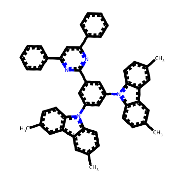 Cc1ccc2c(c1)c1cc(C)ccc1n2-c1cc(-c2nc(-c3ccccc3)cc(-c3ccccc3)n2)cc(-n2c3ccc(C)cc3c3cc(C)ccc32)c1